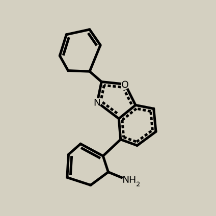 NC1CC=CC=C1c1cccc2oc(C3C=CC=CC3)nc12